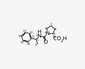 CC(NC(=O)N1CCC[C@@H]1C(=O)O)c1ccccc1